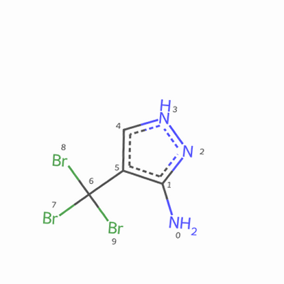 Nc1n[nH]cc1C(Br)(Br)Br